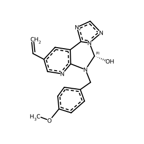 C=Cc1cnc2c(c1)-c1ncnn1[C@H](O)N2Cc1ccc(OC)cc1